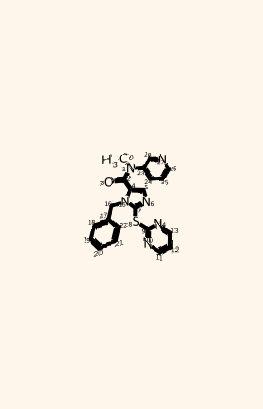 CN(C(=O)c1cnc(Sc2ncccn2)n1Cc1ccccc1)c1cccnc1